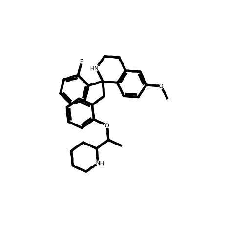 COc1ccc2c(c1)CCNC2(Cc1ccccc1OC(C)C1CCCCN1)c1ccccc1F